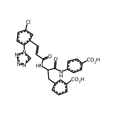 O=C(C=Cc1cc(Cl)ccc1-n1cnnn1)NC(Cc1cccc(C(=O)O)c1)C(=O)Nc1ccc(C(=O)O)cc1